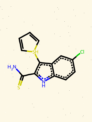 NC(=S)c1[nH]c2ccc(Cl)cc2c1[SH]1C=CC=C1